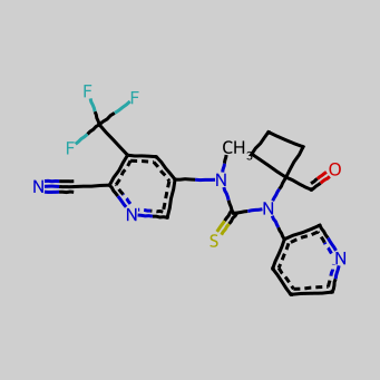 CN(C(=S)N(c1cccnc1)C1(C=O)CCC1)c1cnc(C#N)c(C(F)(F)F)c1